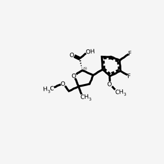 COCC1(C)CC(c2ccc(F)c(F)c2OC)[C@@H](C(=O)O)O1